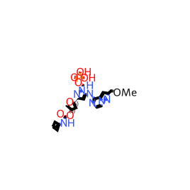 COCc1cc2c(Nc3cc([C@@H]4C[C@H](OC(=O)NC56CC(C5)C6)CO4)nn3COP(=O)(O)O)nccn2n1